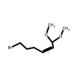 COC(/C=C\CCCBr)OC